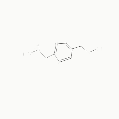 CSCc1ccc(CNN)nc1